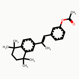 CC(=O)Oc1cccc(/C=C(\C)c2ccc3c(c2)C(C)(C)CCC3(C)C)c1